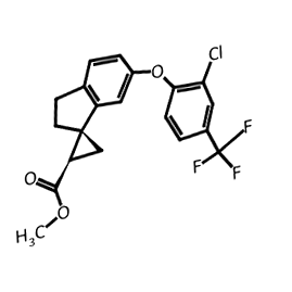 COC(=O)[C@@H]1C[C@]12CCc1ccc(Oc3ccc(C(F)(F)F)cc3Cl)cc12